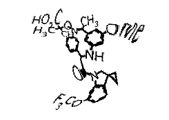 COc1cc(NC(C(=O)N2CC3(CC3)c3ccc(OC(F)(F)F)cc32)c2ccccc2)cc(C(C)=NOC(C)(C)C(=O)O)c1